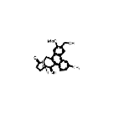 COc1cc2c3c(c4ccc(C)cc4c2cc1CO)C(=N)[C@@H]1CCC(=O)N1C3